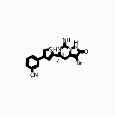 C[C@@]1(c2cc(-c3cccc(C#N)c3)cs2)Cc2c(Br)c(=O)[nH]n2C(=N)N1